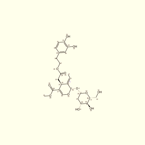 C/C=C1/[C@H](O[C@H]2C[C@@H](O)[C@H](O)[C@@H](CO)O2)OC=C(C(=O)OC)[C@H]1CC(=O)OCCc1ccc(O)c(O)c1